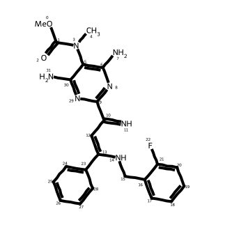 COC(=O)N(C)c1c(N)nc(C(=N)/C=C(\NCc2ccccc2F)c2ccccc2)nc1N